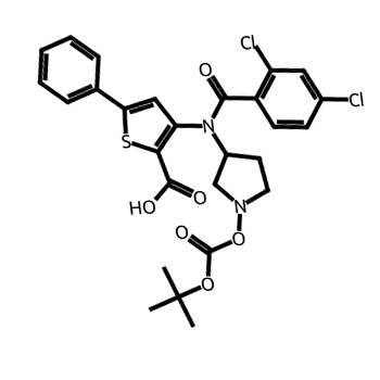 CC(C)(C)OC(=O)ON1CCC(N(C(=O)c2ccc(Cl)cc2Cl)c2cc(-c3ccccc3)sc2C(=O)O)C1